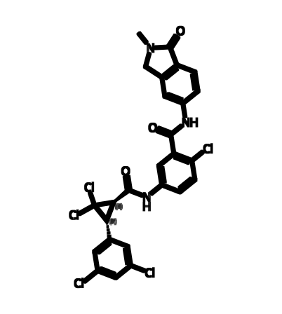 CN1Cc2cc(NC(=O)c3cc(NC(=O)[C@H]4[C@H](c5cc(Cl)cc(Cl)c5)C4(Cl)Cl)ccc3Cl)ccc2C1=O